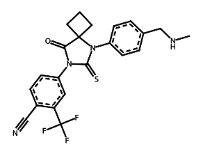 CNCc1ccc(N2C(=S)N(c3ccc(C#N)c(C(F)(F)F)c3)C(=O)C23CCC3)cc1